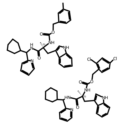 C[C@@](Cc1c[nH]c2ccccc12)(NC(=O)OCc1ccc(Cl)cc1Cl)C(=O)NC(c1ccccn1)C1CCCCC1.Cc1cccc(COC(=O)N[C@@](C)(Cc2c[nH]c3ccccc23)C(=O)NC(c2ccccn2)C2CCCCC2)c1